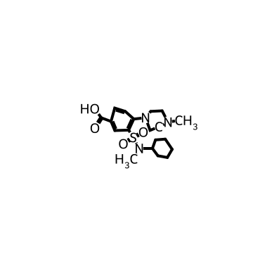 CN1CCN(c2ccc(C(=O)O)cc2S(=O)(=O)N(C)C2CCCCC2)CC1